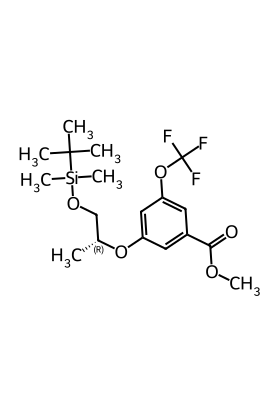 COC(=O)c1cc(O[C@H](C)CO[Si](C)(C)C(C)(C)C)cc(OC(F)(F)F)c1